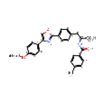 CCCCCCCOc1ccc(-c2coc(-c3ccc(C[C@H](NC(=O)c4ccc(C(C)(C)C)cc4)C(=O)O)cc3)n2)cc1